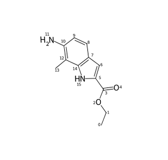 CCOC(=O)c1cc2ccc(N)c(C)c2[nH]1